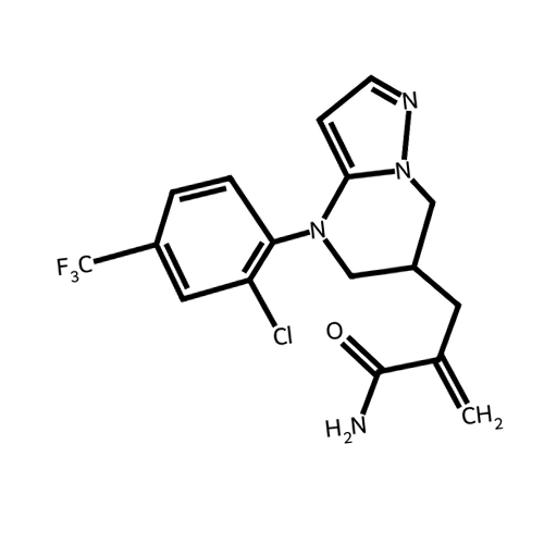 C=C(CC1CN(c2ccc(C(F)(F)F)cc2Cl)c2ccnn2C1)C(N)=O